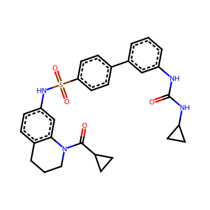 O=C(Nc1cccc(-c2ccc(S(=O)(=O)Nc3ccc4c(c3)N(C(=O)C3CC3)CCC4)cc2)c1)NC1CC1